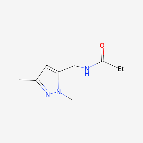 CCC(=O)NCc1cc(C)nn1C